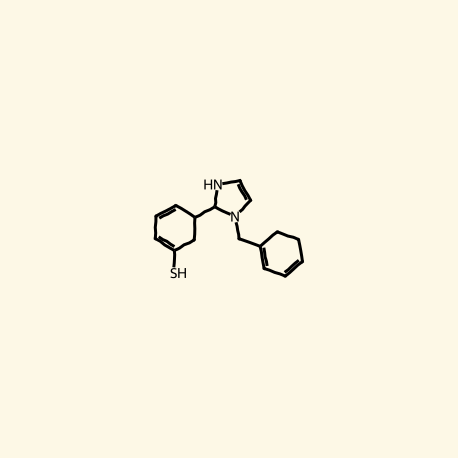 SC1=CC=CC(C2NC=CN2CC2=CC=CCC2)C1